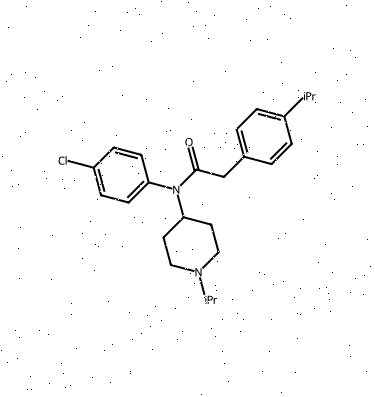 CC(C)c1ccc(CC(=O)N(c2ccc(Cl)cc2)C2CCN(C(C)C)CC2)cc1